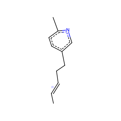 C/C=C/CCc1ccc(C)nc1